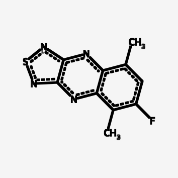 Cc1cc(F)c(C)c2nc3nsnc3nc12